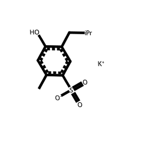 Cc1cc(O)c(CC(C)C)cc1S(=O)(=O)[O-].[K+]